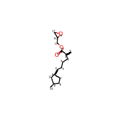 C=C(CCCC=C1CCC(C)C1)C(=O)OCC1CO1